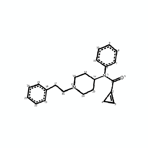 O=C(C1=CC1)N(c1ccccc1)C1CCN(CCc2ccccc2)CC1